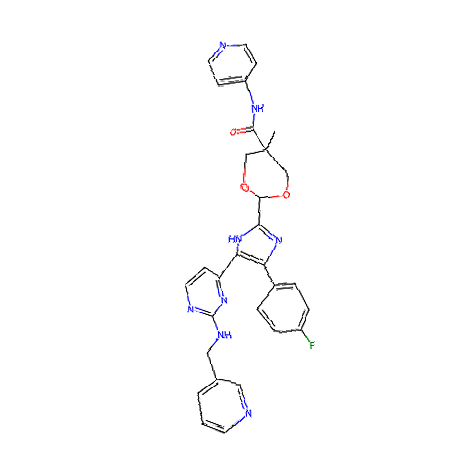 CC1(C(=O)Nc2ccncc2)COC(c2nc(-c3ccc(F)cc3)c(-c3ccnc(NCc4cccnc4)n3)[nH]2)OC1